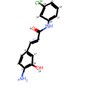 Nc1ccc(/C=C/C(=O)Nc2cccc(Cl)c2)cc1O